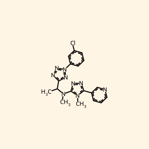 CC(c1nnn(-c2cccc(Cl)c2)n1)N(C)c1nnc(-c2cccnc2)n1C